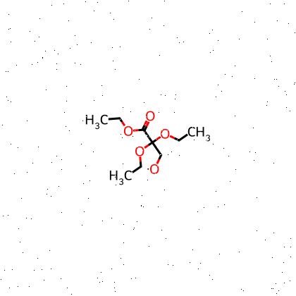 CCOC(=O)C(C[O])(OCC)OCC